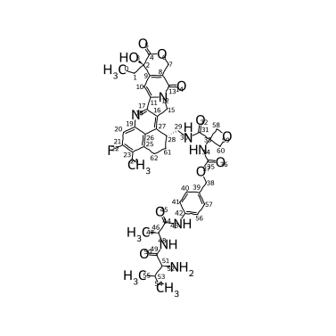 CC[C@]1(O)C(=O)OCc2c1cc1n(c2=O)Cc2c-1nc1cc(F)c(C)c3c1c2[C@H](CNC(=O)C1(NC(=O)OCc2ccc(NC(=O)[C@H](C)NC(=O)[C@@H](N)C(C)C)cc2)COC1)CC3